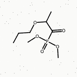 CCCOC(C)C(=O)P(=O)(OC)OC